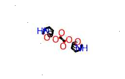 O=C(OC12CCC(CO1)NC2)C(=O)OC12CCC(CO1)NC2